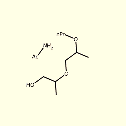 CC(N)=O.CCCOC(C)COC(C)CO